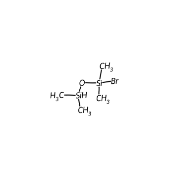 C[SiH](C)O[Si](C)(C)Br